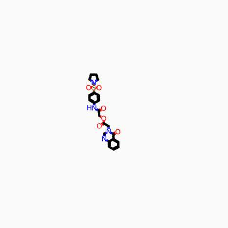 O=C(COC(=O)Cn1cnc2ccccc2c1=O)Nc1ccc(S(=O)(=O)N2CCCC2)cc1